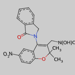 CN(O)CC1=C(N2Cc3ccccc3C2=O)c2cc([N+](=O)[O-])ccc2OC1(C)C